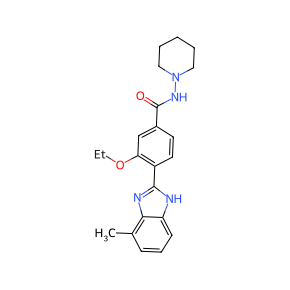 CCOc1cc(C(=O)NN2CCCCC2)ccc1-c1nc2c(C)cccc2[nH]1